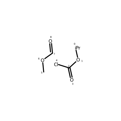 CC(C)OC(=O)Cl.COC=O